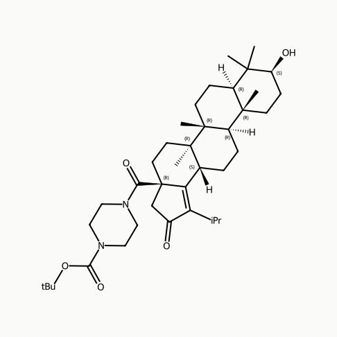 CC(C)C1=C2[C@H]3CC[C@@H]4[C@@]5(C)CC[C@H](O)C(C)(C)[C@@H]5CC[C@@]4(C)[C@]3(C)CC[C@@]2(C(=O)N2CCN(C(=O)OC(C)(C)C)CC2)CC1=O